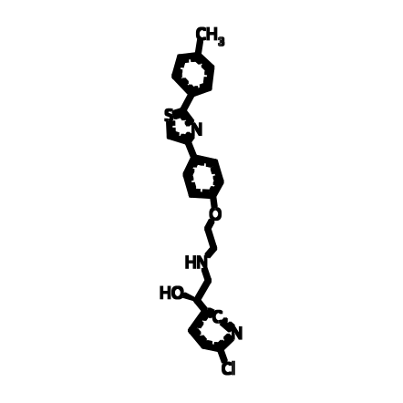 Cc1ccc(-c2nc(-c3ccc(OCCNC[C@H](O)c4ccc(Cl)nc4)cc3)cs2)cc1